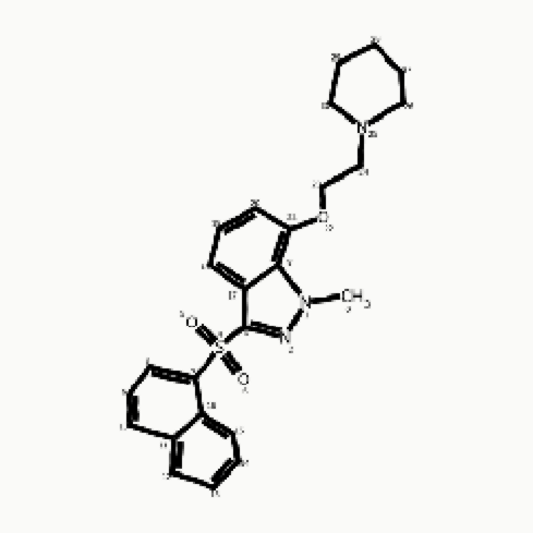 Cn1nc(S(=O)(=O)c2cccc3ccccc23)c2cccc(OCCN3CCCCC3)c21